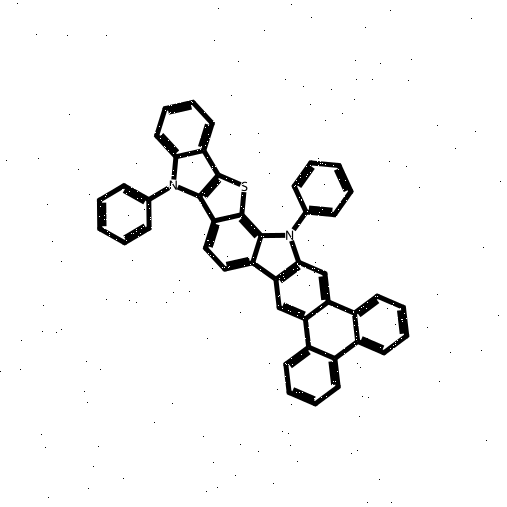 c1ccc(-n2c3cc4c5ccccc5c5ccccc5c4cc3c3ccc4c(sc5c6ccccc6n(-c6ccccc6)c45)c32)cc1